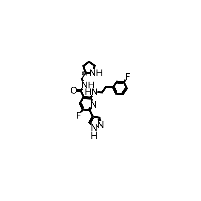 O=C(NC[C@H]1CCCN1)c1cc(F)c(-c2cn[nH]c2)nc1NCCc1cccc(F)c1